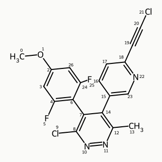 COc1cc(F)c(-c2c(Cl)nnc(C)c2-c2ccc(C#CCl)nc2)c(F)c1